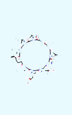 C/C=C/C[C@@H](C)[C@@H](O)[C@H]1C(=O)N[C@@H](CC)C(=O)N(C)[C@H](CSCC(=O)OC)C(=O)N(C)[C@@H](CC(C)(C)O)C(=O)N[C@@H](C(C)C)C(=O)N(C)[C@@H](CC(C)C)C(=O)N[C@@H](C)C(=O)N[C@H](C)C(=O)N(C)[C@@H](CC(C)C)C(=O)N(C)[C@@H](CC(C)C)C(=O)N(C)[C@@H](C(C)C)C(=O)N1C